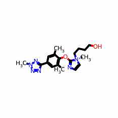 Cc1cc(-c2nnn(C)n2)cc(C)c1OC1=NC=C[N+]1(C)CCCCO